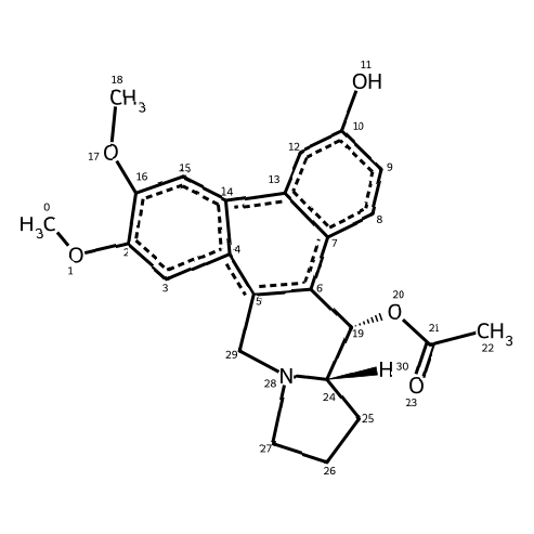 COc1cc2c3c(c4ccc(O)cc4c2cc1OC)[C@H](OC(C)=O)[C@@H]1CCCN1C3